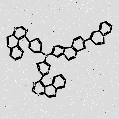 c1ccc2cc(-c3ccc4c(ccc5cc(N(c6ccc(-c7ncnc8ccc9ccccc9c78)cc6)c6ccc(-c7ncnc8ccc9ccccc9c78)cc6)ccc54)c3)ccc2c1